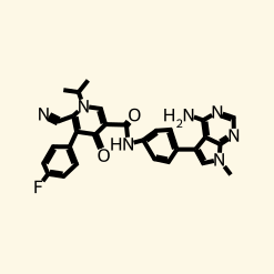 CC(C)n1cc(C(=O)Nc2ccc(-c3cn(C)c4ncnc(N)c34)cc2)c(=O)c(-c2ccc(F)cc2)c1C#N